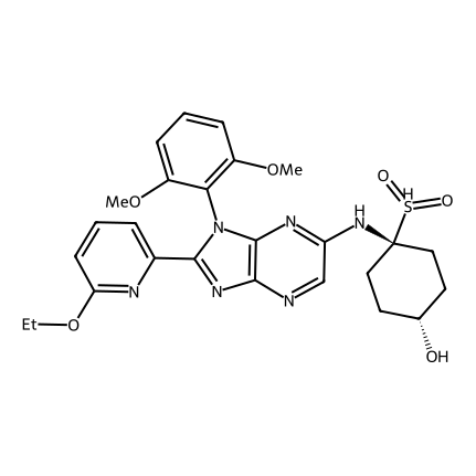 CCOc1cccc(-c2nc3ncc(N[C@]4([SH](=O)=O)CC[C@@H](O)CC4)nc3n2-c2c(OC)cccc2OC)n1